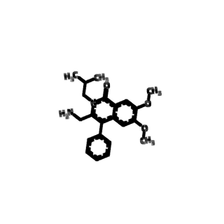 COc1cc2c(-c3ccccc3)c(CN)n(CC(C)C)c(=O)c2cc1OC